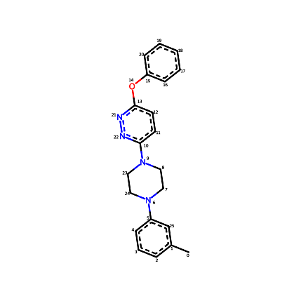 Cc1cccc(N2CCN(c3ccc(Oc4ccccc4)nn3)CC2)c1